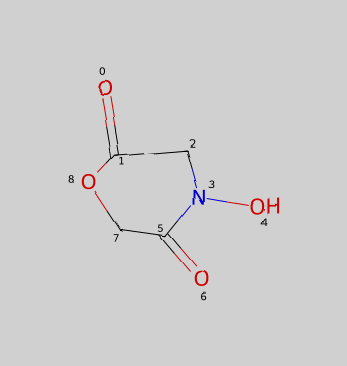 O=C1CN(O)C(=O)CO1